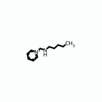 CCCCCNC[n+]1ccccc1